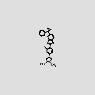 CN1C[C@@H](c2ccc(-c3nc4ccc(C5(c6ccccc6)CC5)nc4s3)c(F)c2)C[C@H]1C=O